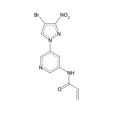 C=CC(=O)Nc1cncc(-n2cc(Br)c([N+](=O)[O-])n2)c1